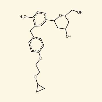 Cc1ccc(C2CC(O)CC(CO)O2)cc1Cc1ccc(OCCOC2CC2)cc1